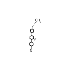 CCCCCc1ccc(-c2ccc(-c3ccc(C#N)cc3)c(F)c2)cc1